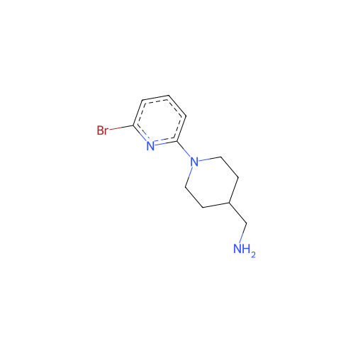 NCC1CCN(c2cccc(Br)n2)CC1